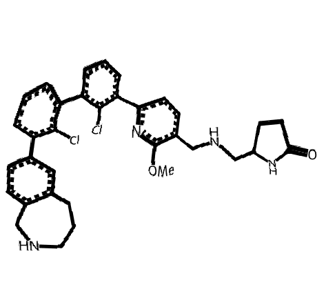 COc1nc(-c2cccc(-c3cccc(-c4ccc5c(c4)CCCNC5)c3Cl)c2Cl)ccc1CNCC1CCC(=O)N1